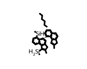 CC1=Cc2c(ccc3ccccc23)C1.CCCCCC.C[SiH2]C1=C(C)Cc2ccc3c([SiH2]C)cccc3c21